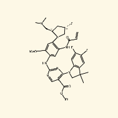 C=CC(=O)Nc1cc(Nc2ncc(C(=O)OC(C)C)c(N3CC(C)(C)c4cc(F)c(F)cc43)n2)c(OC)cc1N1C[C@@H](F)C[C@@H]1CN(C)C